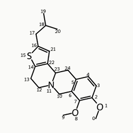 COc1ccc2c(c1OC)CN1CCc3sc(CC(C)C)cc3C1C2